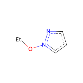 [CH2]COn1cccn1